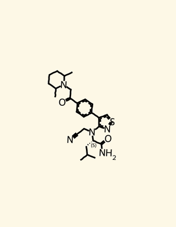 CC(C)C[C@@H](C(N)=O)N(CC#N)c1nscc1-c1ccc(C(=O)CN2C(C)CCCC2C)cc1